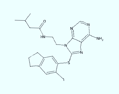 CC(C)CC(=O)NCCn1c(Sc2cc3c(cc2I)CCC3)nc2c(N)ncnc21